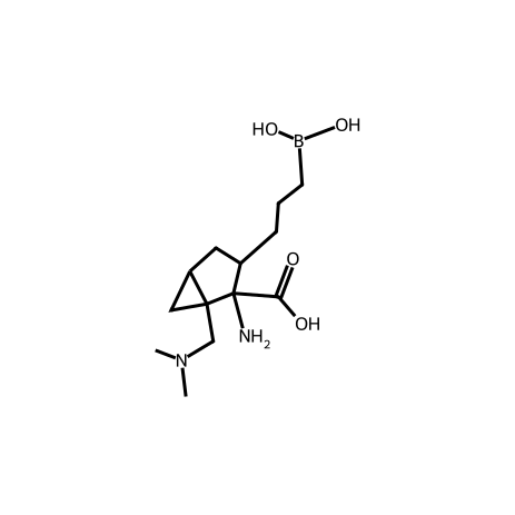 CN(C)CC12CC1CC(CCCB(O)O)C2(N)C(=O)O